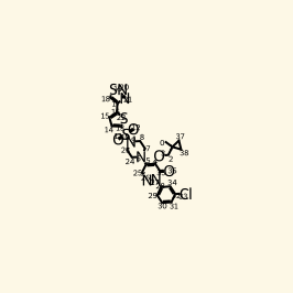 CC1(COc2c(N3CCN(S(=O)(=O)c4ccc(-c5csnn5)s4)CC3)cnn(-c3cccc(Cl)c3)c2=O)CC1